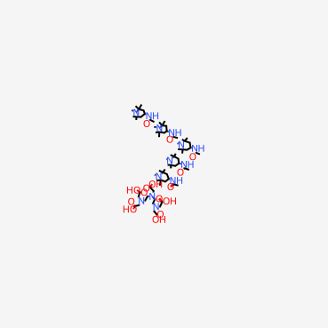 CC(=O)NC1CC(C)(C)N(C)C(C)(C)C1.CC(=O)NC1CC(C)(C)N(C)C(C)(C)C1.CC(=O)NC1CC(C)(C)N(C)C(C)(C)C1.CC(=O)NC1CC(C)(C)N(C)C(C)(C)C1.CC(=O)NC1CC(C)(C)N(C)C(C)(C)C1.O=C(O)CN(CCN(CC(=O)O)CC(=O)O)CCN(CC(=O)O)CC(=O)O